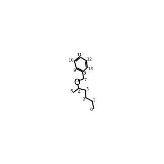 CCCCC(C)OCc1ccccc1